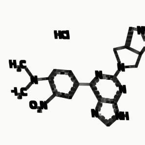 CN(C)c1ccc(-c2nc(N3CC4=CNCC4C3)nc3[nH]cnc23)cc1[N+](=O)[O-].Cl